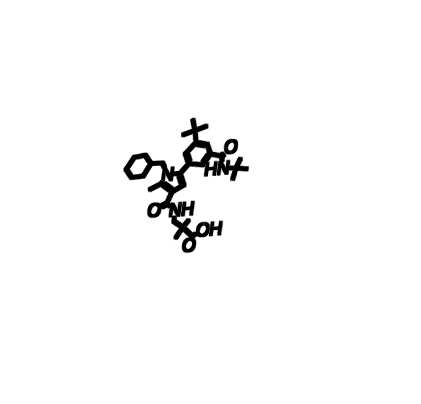 Cc1c(C(=O)NCC(C)(C)C(=O)O)cc(-c2cc(C(=O)NC(C)(C)C)cc(C(C)(C)C)c2)n1CC1CCCCC1